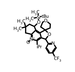 CC(C)c1c2c(c3c([n+]1[O-])CC(C)(C)CC3O[Si](C)(C)C(C)(C)C)C1(CCOCC1)OC2c1ccc(C(F)(F)F)cn1